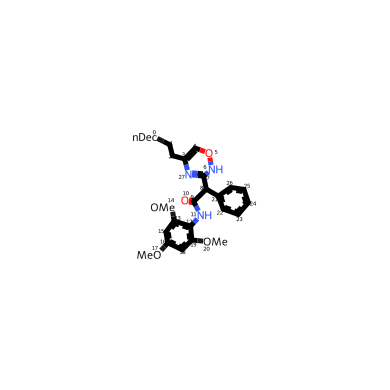 CCCCCCCCCCCCC1=CONC(C(C(=O)Nc2c(OC)cc(OC)cc2OC)c2ccccc2)=N1